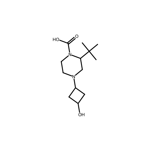 CC(C)(C)C1CN(C2CC(O)C2)CCN1C(=O)O